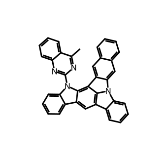 Cc1nc(-n2c3ccccc3c3cc4c5ccccc5n5c6cc7ccccc7cc6c(c32)c45)nc2ccccc12